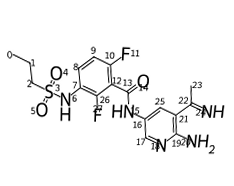 CCCS(=O)(=O)Nc1ccc(F)c(C(=O)Nc2cnc(N)c(C(C)=N)c2)c1F